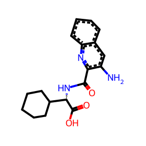 Nc1cc2ccccc2nc1C(=O)N[C@H](C(=O)O)C1CCCCC1